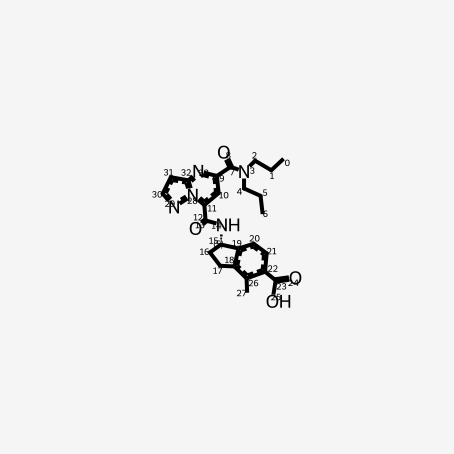 CCCN(CCC)C(=O)c1cc(C(=O)N[C@H]2CCc3c2ccc(C(=O)O)c3C)n2nccc2n1